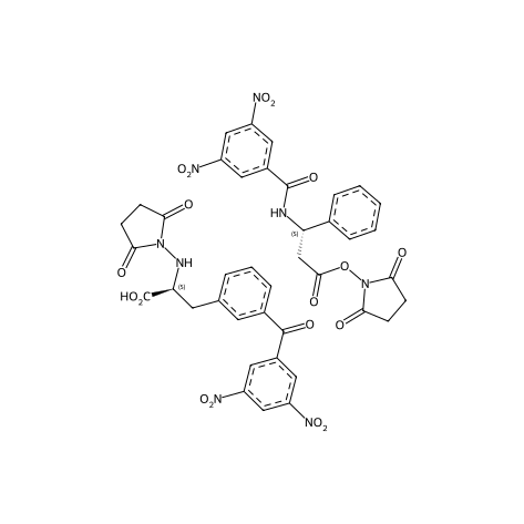 O=C(C[C@H](NC(=O)c1cc([N+](=O)[O-])cc([N+](=O)[O-])c1)c1ccccc1)ON1C(=O)CCC1=O.O=C(c1cccc(C[C@H](NN2C(=O)CCC2=O)C(=O)O)c1)c1cc([N+](=O)[O-])cc([N+](=O)[O-])c1